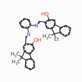 CCC1(C)c2ccccc2-c2cc(O)c(/C=N/c3ccccc3/N=C/c3cc4c(cc3O)-c3ccccc3C4(C)C)cc21